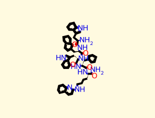 NC(=O)[C@H](CCCCNc1ccc2ccccc2n1)NC(=O)[C@@H](Cc1ccccc1)NC(=O)[C@H](Cc1c[nH]c2ccccc12)NC(=O)[C@@H](Cc1ccc2ccccc2c1)NC(=O)[C@H](N)Cc1c[nH]c2ccccc12